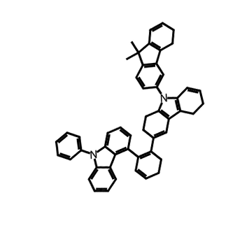 CC1(C)C2=C(CCC=C2)c2cc(-n3c4c(c5c3CCC(C3=C(c6cccc7c6c6ccccc6n7-c6ccccc6)C=CCC3)=C5)CCC=C4)ccc21